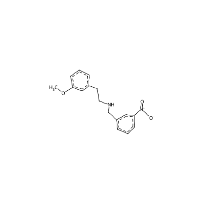 COc1cccc(CCNCc2cccc([N+](=O)[O-])c2)c1